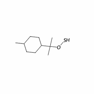 CC1CCC(C(C)(C)OS)CC1